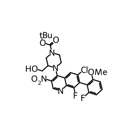 COc1cccc(F)c1-c1c(Cl)cc2c(N3CCN(C(=O)OC(C)(C)C)CC3CO)c([N+](=O)[O-])cnc2c1F